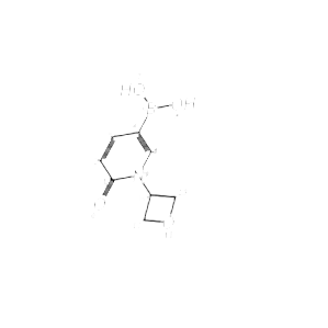 O=c1ccc(B(O)O)cn1C1COC1